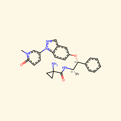 CC(C)[C@H](NC(=O)C1(N)CC1)[C@H](Oc1ccc2c(cnn2-c2ccc(=O)n(C)c2)c1)c1ccccc1